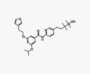 CC(C)Oc1cc(OCCc2ccsc2)cc(C(=O)Nc2ccc(CCC(C)(C)[Si](C)(C)O)cn2)c1